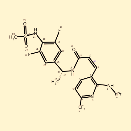 CCCNc1nc(C(F)(F)F)ccc1/C=C\C(=O)N[C@H](C)c1cc(F)c(NS(C)(=O)=O)c(F)c1